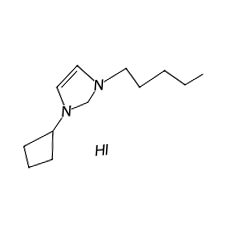 CCCCCN1C=CN(C2CCC2)C1.I